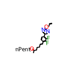 C=CCOc1ncc(-c2ccc(C=CCCCC(C)OCCCCC)c(F)c2F)cn1